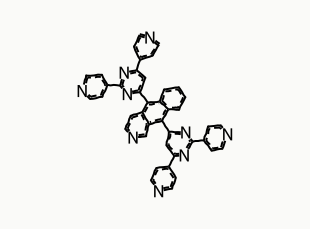 c1ccc2c(-c3cc(-c4ccncc4)nc(-c4ccncc4)n3)c3cnccc3c(-c3cc(-c4ccncc4)nc(-c4ccncc4)n3)c2c1